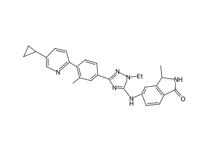 CCn1nc(-c2ccc(-c3ccc(C4CC4)cn3)c(C)c2)nc1Nc1ccc2c(c1)C(C)NC2=O